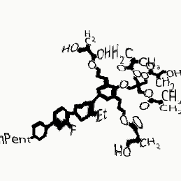 C=C(C)C(=O)OCC(COC(=O)C(=C)C)(COC(=O)C(=C)CO)COc1c(CCCOC(=O)C(=C)CO)cc(-c2ccc(-c3ccc(C4CCC(CCCCC)CC4)cc3F)cc2CC)cc1CCCOC(O)C(=C)CO